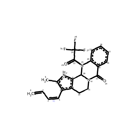 C=C/C=C\c1c(C)[nH]c2c1CCN1C(=O)c3ccccc3N(C(=O)C(F)(F)F)C21